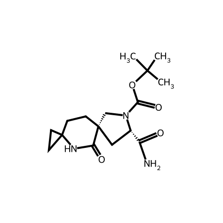 CC(C)(C)OC(=O)N1C[C@]2(CCC3(CC3)NC2=O)C[C@H]1C(N)=O